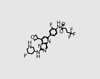 O=S(=O)(CCC(F)(F)F)Nc1ccc(-c2cc(C3COC3)c3nc(N[C@@H]4CNC[C@@H](F)C4)ncc3n2)cc1F